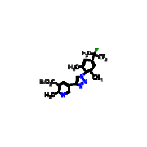 CCOC(=O)c1cc(-c2cn(-c3c(C)cc(C(F)(C(F)(F)F)C(F)(F)F)cc3C)nn2)cnc1C